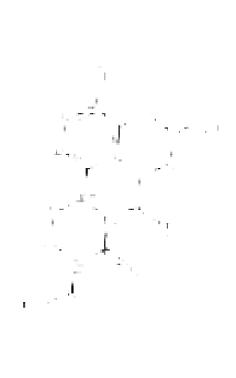 CCC(CC[S+](C)[O-])N1C(=O)[C@@H](CC(=O)O)CC[C@H]1c1ccc(Cl)cc1